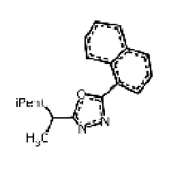 CCCC(C)C(C)c1nnc(-c2cccc3ccccc23)o1